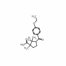 CCOc1ccc(C(=O)C2CCC(C)(C(=O)O)C2(C)C)cc1